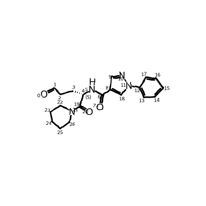 O=CCC[C@H](NC(=O)c1cnn(-c2ccccc2)c1)C(=O)N1CCCCC1